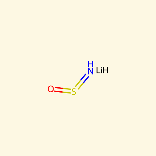 N=S=O.[LiH]